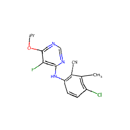 Cc1c(Cl)ccc(Nc2ncnc(OC(C)C)c2F)c1C#N